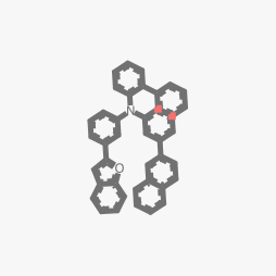 c1ccc(-c2ccccc2N(c2cccc(-c3ccc4ccccc4c3)c2)c2cccc(-c3cc4ccccc4o3)c2)cc1